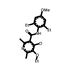 CCOc1c(C)nc(C)c(C(=O)Nc2c(CC)cc(OC)cc2CC)c1Cl